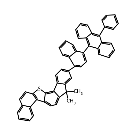 CC1(C)c2cc(-c3ccc(-c4c5ccccc5c(-c5ccccc5)c5ccccc45)c4ccccc34)ccc2-c2c1ccc1c2sc2ccc3ccccc3c21